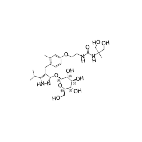 Cc1cc(OCCNC(=O)NC(C)(CO)CO)ccc1Cc1c(O[C@@H]2O[C@H](CO)[C@@H](O)[C@H](O)[C@H]2O)n[nH]c1C(C)C